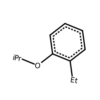 [CH2]C(C)Oc1ccccc1CC